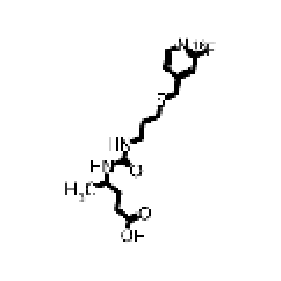 CC(CCC(=O)O)NC(=O)NCCCSCc1ccnc([18F])c1